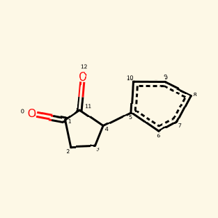 O=C1CCC(c2ccccc2)C1=O